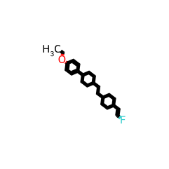 CCOc1ccc(C2CCC(CCC3CCC(C=CF)CC3)CC2)cc1